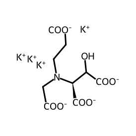 O=C([O-])CCN(CC(=O)[O-])[C@H](C(=O)[O-])C(O)C(=O)[O-].[K+].[K+].[K+].[K+]